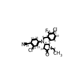 CCN1C[C@@H](N(Cc2cccc(Cl)c2F)c2ccc(C#N)c(Cl)c2)CC1=O